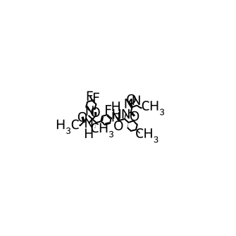 CCC(=O)NC(C=O)(CN1CCC(F)(F)CC1)[C@@H](C)c1ccc(NC(=O)[C@@H](NC(=O)c2nonc2CC)[C@H]2CC[C@H](C)CC2)c(F)c1